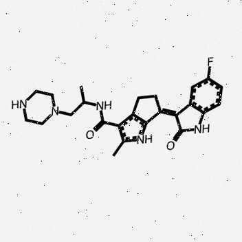 Cc1[nH]c2c(c1C(=O)NC(C)CN1CCNCC1)CC/C2=C1/C(=O)Nc2ccc(F)cc21